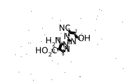 N#Cc1cc(O)nc(-n2ncc(C(=O)O)c2N)n1